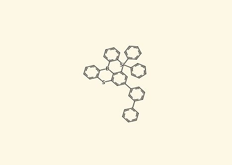 c1ccc(-c2cccc(-c3cc4c5c(c3)[Si](c3ccccc3)(c3ccccc3)c3ccccc3B5c3ccccc3S4)c2)cc1